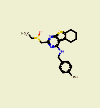 COc1ccc(CNc2nc(C[S+]([O-])CC(=O)O)nc3sc4c(c23)CCCC4)cc1